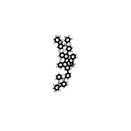 c1ccc(N(c2cccc(-c3ccc4c5c(c6ccccc6c4c3)-c3c(cc(-c4cccc(N(c6ccccc6)c6cccc7c6sc6ccccc67)c4)c4ccccc34)C53c4ccccc4-c4ccccc43)c2)c2cccc3c2sc2ccccc23)cc1